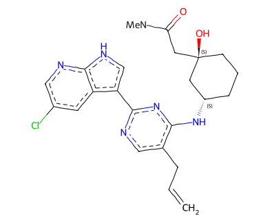 C=CCc1cnc(-c2c[nH]c3ncc(Cl)cc23)nc1N[C@H]1CCC[C@@](O)(CC(=O)NC)C1